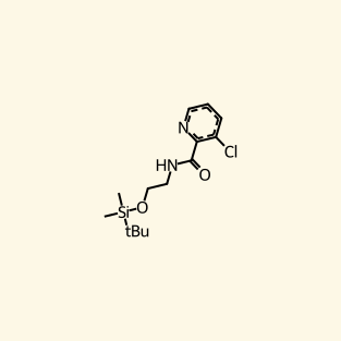 CC(C)(C)[Si](C)(C)OCCNC(=O)c1ncccc1Cl